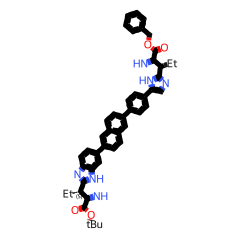 CCC(C(=N)C(=O)OCc1ccccc1)c1ncc(-c2ccc(-c3ccc4cc(-c5ccc6nc([C@@H](CC)C(=N)C(=O)OC(C)(C)C)[nH]c6c5)ccc4c3)cc2)[nH]1